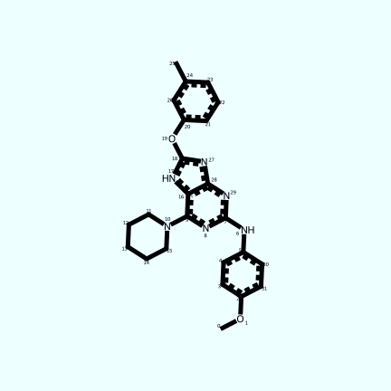 COc1ccc(Nc2nc(N3CCCCC3)c3[nH]c(Oc4cccc(C)c4)nc3n2)cc1